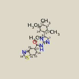 Cc1cc(C)c(-c2cnc(NC(=O)c3ccc4scnc4c3)n2C)cc1C